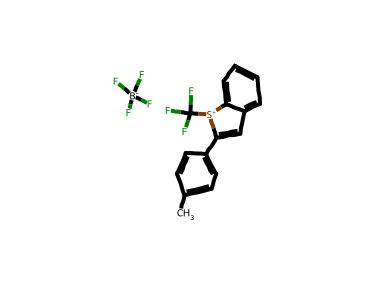 Cc1ccc(-c2cc3ccccc3[s+]2C(F)(F)F)cc1.F[B-](F)(F)F